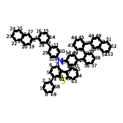 c1ccc(-c2ccc(N(c3ccc(-c4cccc(-c5ccc6ccccc6c5)c4)cc3)c3ccc(-c4ccccc4-c4ccccc4-c4ccc5ccccc5c4)cc3)c3c2sc2ccccc23)cc1